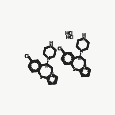 Cl.Cl.Clc1ccc2c(c1)[C@H](N1CCNCC1)Cn1cccc1S2.Clc1ccc2c(c1)[C@H](N1CCNCC1)Cn1cccc1S2